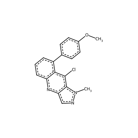 COc1ccc(-c2cccc3nc4cnn(C)c4c(Cl)c23)cc1